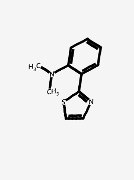 CN(C)c1ccccc1-c1nccs1